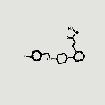 O=C(/C=C/c1ccccc1N1CCC(NCc2ccc(F)cc2)CC1)NO